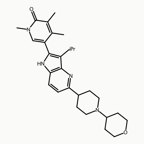 Cc1c(-c2[nH]c3ccc(C4CCN(C5CCOCC5)CC4)nc3c2C(C)C)cn(C)c(=O)c1C